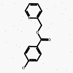 O=C(OCc1ccccn1)c1ccc(Cl)cc1